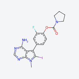 Cn1c(I)c(-c2ccc(OC(=O)N3CCCC3)c(F)c2)c2c(N)ncnc21